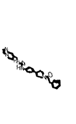 O=C(NCc1ccn2ccnc2c1)Nc1ccc(C2CCN(C(=O)Cc3ccccc3)CC2)cc1